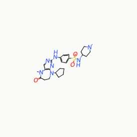 CN1CCC(NS(=O)(=O)c2ccc(Nc3ncc4c(n3)N(C3CCCC3)CCC(=O)N4C)cc2)CC1